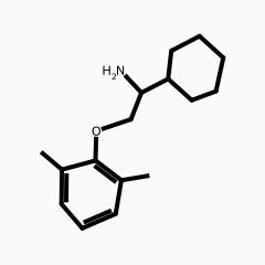 Cc1cccc(C)c1OCC(N)C1CCCCC1